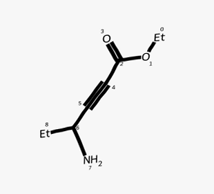 CCOC(=O)C#CC(N)CC